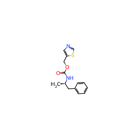 [CH2][C@H](Cc1ccccc1)NC(=O)OCc1cncs1